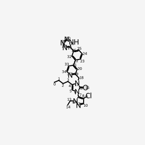 CCCCc1cn(-c2c(Cl)cnn2CC)c(=O)n1Cc1cc(-c2cccc(-c3nnn[nH]3)c2)ccn1